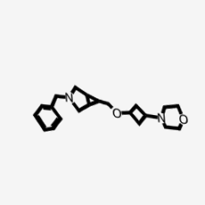 c1ccc(CN2CC3C(COC4CC(N5CCOCC5)C4)C3C2)cc1